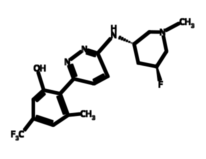 Cc1cc(C(F)(F)F)cc(O)c1-c1ccc(N[C@H]2C[C@H](F)CN(C)C2)nn1